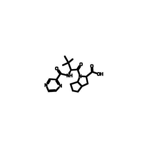 CC(C)(C)[C@H](NC(=O)c1cnccn1)C(=O)N1C(C(=O)O)CC2CCCC21